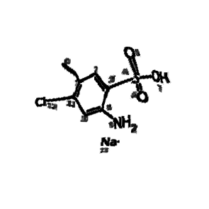 Cc1cc(S(=O)(=O)O)c(N)cc1Cl.[Na]